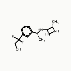 C[C@@H]1NNC1N[C@H](C)c1cccc(C(F)(F)CO)c1